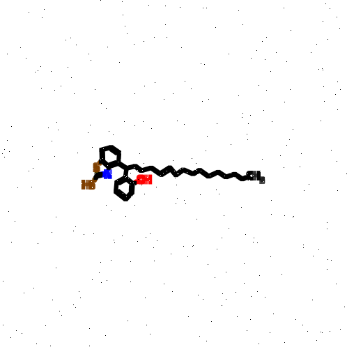 CCCCCCCCCCC=CCCCC(c1ccccc1O)c1cccc2sc(S)nc12